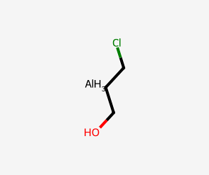 OCCCCl.[AlH3]